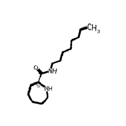 CCCCCCCCNC(=O)[C@@H]1CCCCCN1